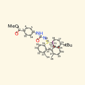 COC(=O)c1ccc(NC(=O)N=S(c2ccc(C(C)(C)C)cc2)c2cccc(C)c2-c2c(C)cccc2I)cc1